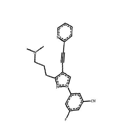 CN(C)CCCc1nn(-c2cc(F)cc(C#N)c2)cc1C#Cc1ccccn1